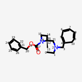 CCN(CC1=CC=CC=CC1)C[C@@]1(C)CCN1C(=O)OCc1ccccc1